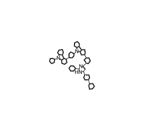 C1=C(c2cccc(-c3ccc4c5ccccc5n(-c5ccc(-c6cccc7c6c6ccccc6n7-c6ccccc6)cc5)c4c3)c2)N=C(c2ccccc2)NC1c1ccc(-c2ccccc2)cc1